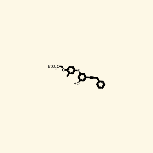 CCOC(=O)COc1ccc(Sc2cc(O)cc(C#CCc3ccccc3)c2)cc1C